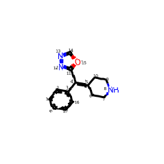 c1ccc(C(=C2CCNCC2)c2nnco2)cc1